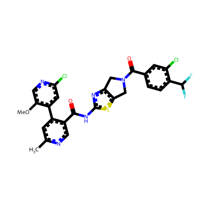 COc1cnc(Cl)cc1-c1cc(C)ncc1C(=O)Nc1nc2c(s1)CN(C(=O)c1ccc(C(F)F)c(Cl)c1)C2